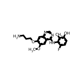 COc1cc2c(Nc3c(F)ccc(O)c3C)ncnc2cc1OCCCN